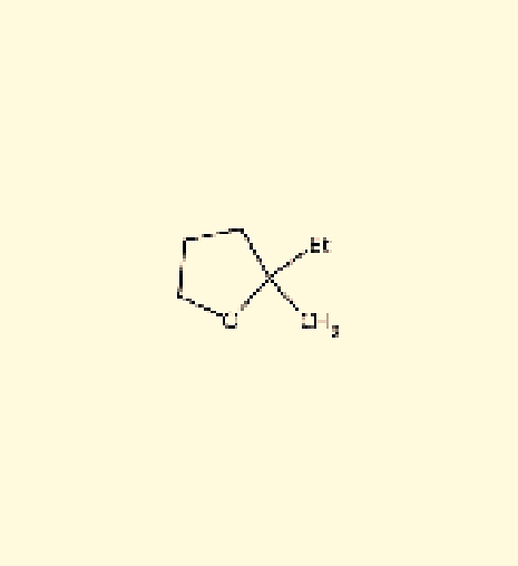 [CH2]CC1(C)CCCO1